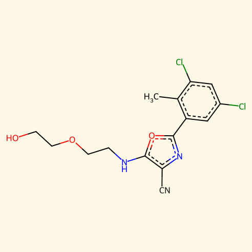 Cc1c(Cl)cc(Cl)cc1-c1nc(C#N)c(NCCOCCO)o1